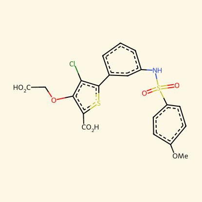 COc1ccc(S(=O)(=O)Nc2cccc(-c3sc(C(=O)O)c(OCC(=O)O)c3Cl)c2)cc1